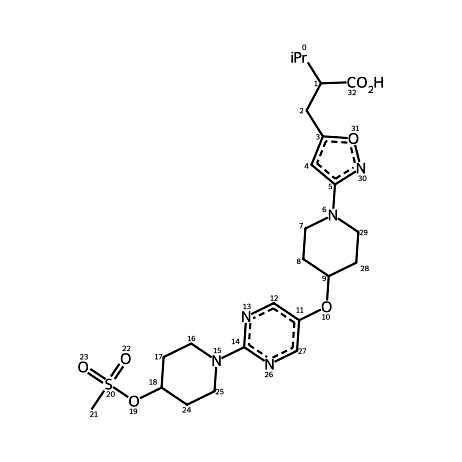 CC(C)C(Cc1cc(N2CCC(Oc3cnc(N4CCC(OS(C)(=O)=O)CC4)nc3)CC2)no1)C(=O)O